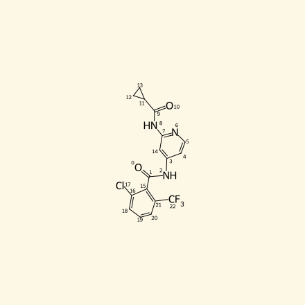 O=C(Nc1ccnc(NC(=O)C2CC2)c1)c1c(Cl)cccc1C(F)(F)F